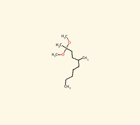 CCCCCC(C)CC[Si](C)(OC)OC